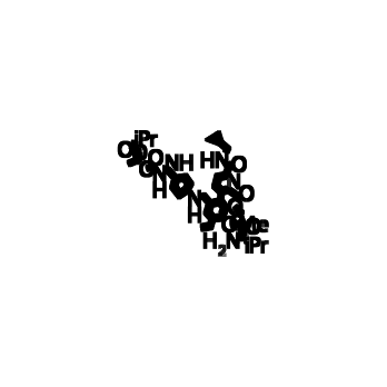 C=Cc1cc(CNc2ccc(C(=N)NC(=O)OC(C)OC(=O)C(C)C)cc2)c(-c2ccc(C(=O)NCC3CC3)nc2C(=O)OCOC(=O)[C@@H](N)C(C)C)cc1OC